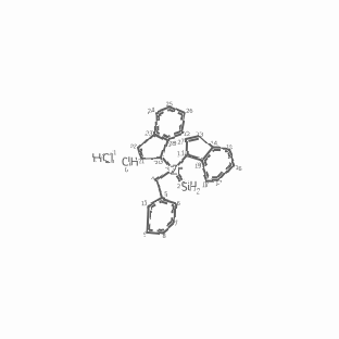 Cl.Cl.[SiH2]=[Zr]([CH2]c1ccccc1)([CH]1C=Cc2ccccc21)[CH]1C=Cc2ccccc21